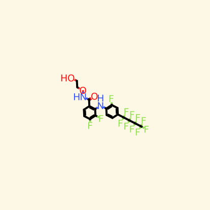 O=C(NOCCO)c1ccc(F)c(F)c1Nc1ccc(C(F)(F)C(F)(F)C(F)(F)C(F)(F)F)cc1F